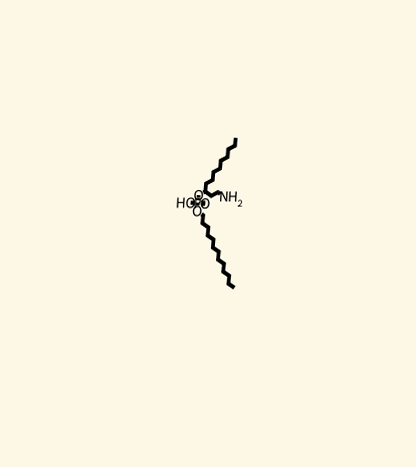 CCCCCCCCCCCCCOP(=O)(O)OC(CCN)CCCCCCCCC